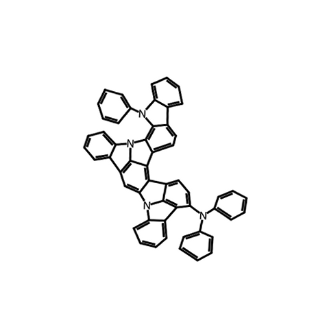 c1ccc(N(c2ccccc2)c2ccc3c4c5c6ccc7c8ccccc8n(-c8ccccc8)c7c6n6c7ccccc7c(cc4n4c7ccccc7c2c34)c56)cc1